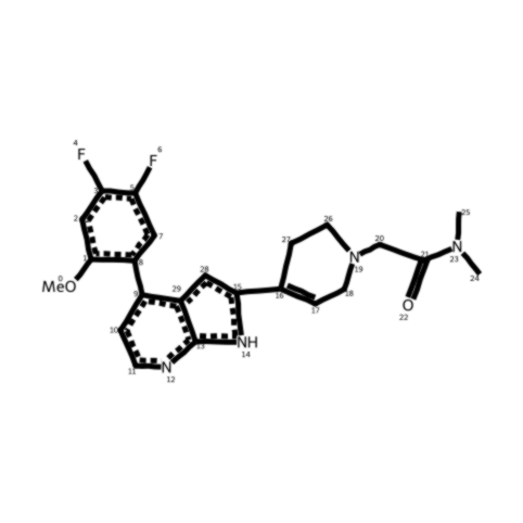 COc1cc(F)c(F)cc1-c1ccnc2[nH]c(C3=CCN(CC(=O)N(C)C)CC3)cc12